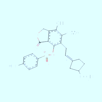 COc1c(C)c2c(c(OS(=O)(=O)c3ccc(C)cc3)c1C/C=C1\CCC(C(=O)O)C1)C(=O)OC2